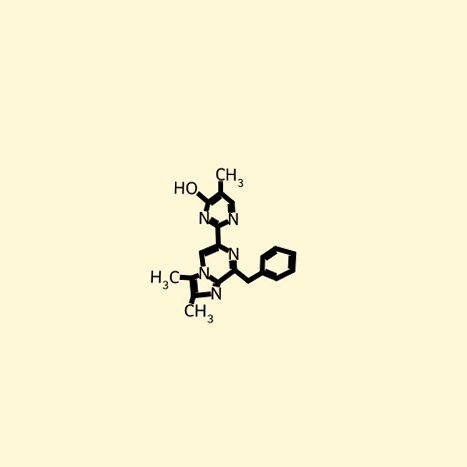 Cc1cnc(-c2cn3c(C)c(C)nc3c(Cc3ccccc3)n2)nc1O